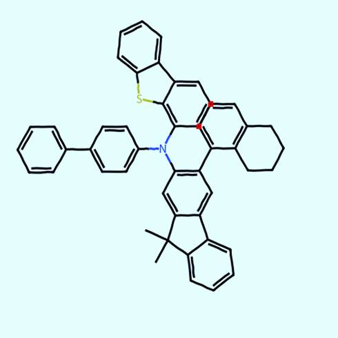 CC1(C)c2ccccc2-c2cc(-c3cccc4c3CCCC4)c(N(c3ccc(-c4ccccc4)cc3)c3cccc4c3sc3ccccc34)cc21